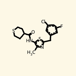 Cc1nc(Cc2cc(F)cc(Cl)c2)sc1NC(=O)C1CCSCC1